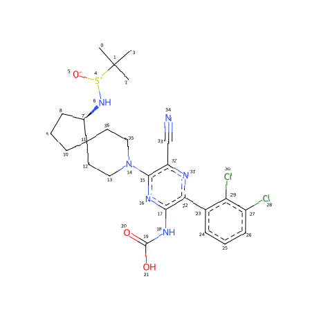 CC(C)(C)[S+]([O-])N[C@@H]1CCCC12CCN(c1nc(NC(=O)O)c(-c3cccc(Cl)c3Cl)nc1C#N)CC2